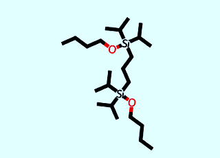 CCCCO[Si](CCC[Si](OCCCC)(C(C)C)C(C)C)(C(C)C)C(C)C